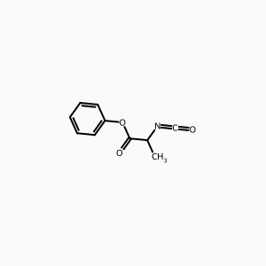 CC(N=C=O)C(=O)Oc1ccccc1